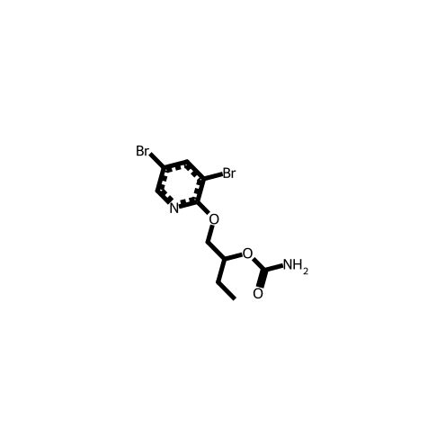 CCC(COc1ncc(Br)cc1Br)OC(N)=O